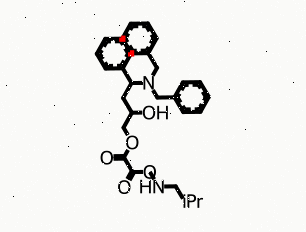 CC(C)CNOC(=O)C(=O)OCC(O)CC(c1ccccc1)N(Cc1ccccc1)Cc1ccccc1